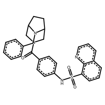 O=C(c1ccc(NS(=O)(=O)c2cccc3cccnc23)cc1)N1CC2CCC(C1)N2Cc1ccccc1